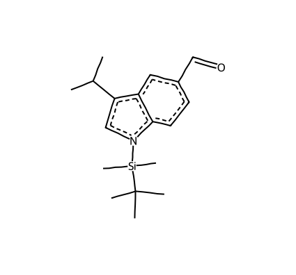 CC(C)c1cn([Si](C)(C)C(C)(C)C)c2ccc(C=O)cc12